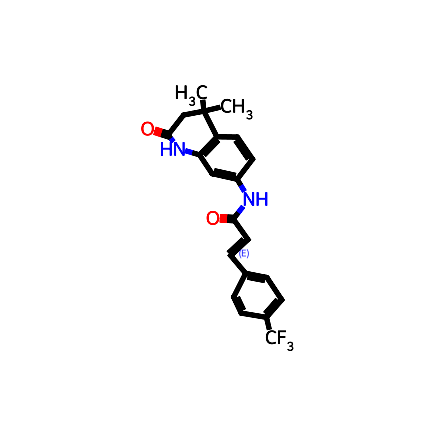 CC1(C)CC(=O)Nc2cc(NC(=O)/C=C/c3ccc(C(F)(F)F)cc3)ccc21